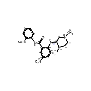 COc1ccccc1NC(=O)c1cc([N+](=O)[O-])ccc1/N=C1/CN(C)CCN1C